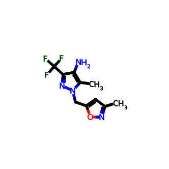 Cc1cc(Cn2nc(C(F)(F)F)c(N)c2C)on1